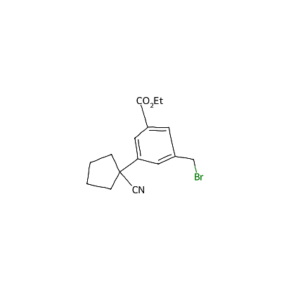 CCOC(=O)c1cc(CBr)cc(C2(C#N)CCCC2)c1